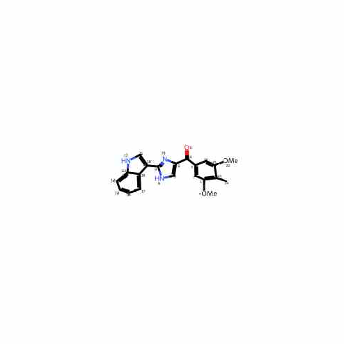 COc1cc(C(=O)c2c[nH]c(-c3c[nH]c4ccccc34)n2)cc(OC)c1C